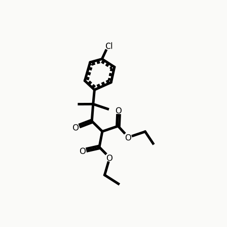 CCOC(=O)C(C(=O)OCC)C(=O)C(C)(C)c1ccc(Cl)cc1